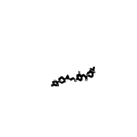 Cc1cnc(N2CCC([C@H]3C[C@H]3CCOc3ccc(CC(=O)N4CCc5nc(C)sc5C4)c(F)c3)CC2)nc1